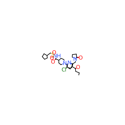 CCCC(=O)c1cc(Cl)c(N2CCC(C(=O)NS(=O)(=O)CC3CCCC3)CC2)nc1CN1CCCC1=O